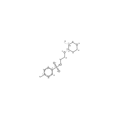 Cc1ccc(S(=O)(=O)OCCO[C@H]2CCOC[C@H]2C)cc1